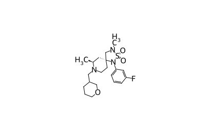 C[C@H]1C[C@]2(CCN1CC1CCCOC1)CN(C)S(=O)(=O)N2c1cccc(F)c1